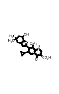 COc1c(-c2cc3c(s2)C(O)CC(C)(C)C3)c(C2CC2)cc2c(=O)c(C(=O)O)c[nH]c12